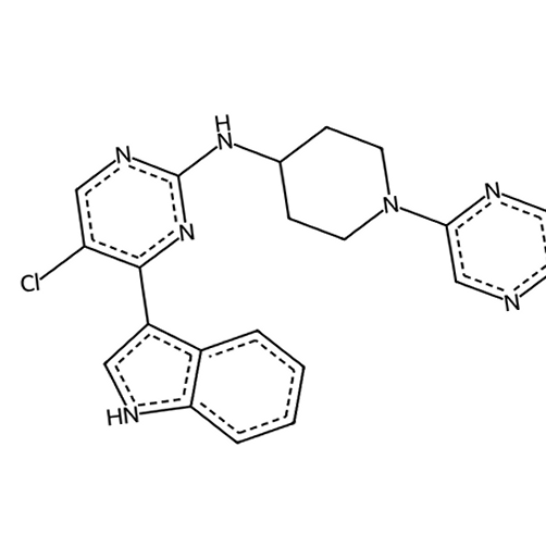 Clc1cnc(NC2CCN(c3cnccn3)CC2)nc1-c1c[nH]c2ccccc12